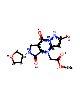 CC(C)(C)OC(=O)Cn1c2c(c(=O)n3nc(Br)cc13)CN([C@@H]1CCOC1)C2=O